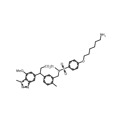 CCOC(=O)CC(c1ccc(C)c(CN(C)S(=O)(=O)c2ccc(OCCCCCCN)cc2)c1)c1cc(OC)c2c(c1)nnn2C